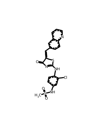 CS(=O)(=O)Nc1ccc(NC2=NC(=O)/C(=C/c3ccc4ncccc4c3)S2)c(Cl)c1